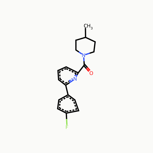 CC1CCN(C(=O)c2cccc(-c3ccc(F)cc3)n2)CC1